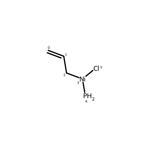 C=C[CH2][Ni]([PH2])[Cl]